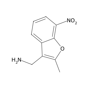 Cc1oc2c([N+](=O)[O-])cccc2c1CN